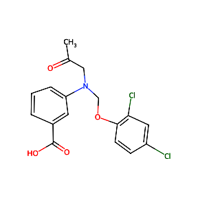 CC(=O)CN(COc1ccc(Cl)cc1Cl)c1cccc(C(=O)O)c1